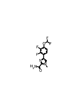 Cn1cc(-c2ccc(OC(F)F)c(F)c2F)nc1C(N)=O